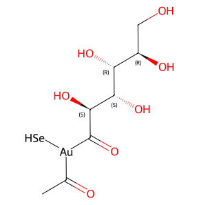 C[C](=O)[Au]([SeH])[C](=O)[C@@H](O)[C@@H](O)[C@H](O)[C@H](O)CO